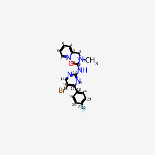 CN(Cc1ccccn1)C(=O)Nc1ncc(Br)c(-c2ccc(F)cc2)n1